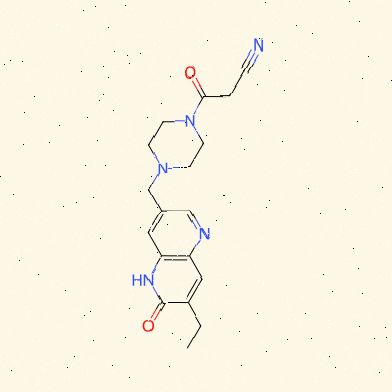 CCc1cc2ncc(CN3CCN(C(=O)CC#N)CC3)cc2[nH]c1=O